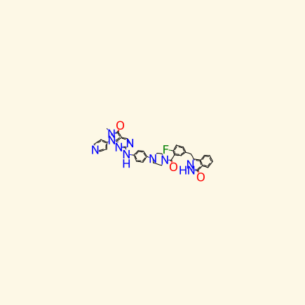 Cn1c(=O)c2cnc(Nc3ccc(N4CCN(C(=O)c5cc(Cc6n[nH]c(=O)c7ccccc67)ccc5F)CC4)cc3)nc2n1-c1ccncc1